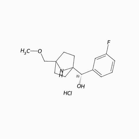 COCC12CCC([C@@H](O)c3cccc(F)c3)(CC1)N2.Cl